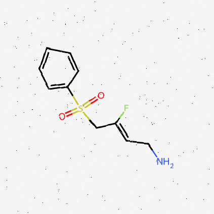 NC/C=C(\F)CS(=O)(=O)c1ccccc1